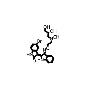 CN(CCO/N=C1/C(=C2/C(=O)Nc3ccc(Br)cc32)Nc2ccccc21)C[C@@H](O)CO